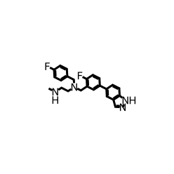 CNCCN(Cc1ccc(F)cc1)Cc1cc(-c2ccc3[nH]ncc3c2)ccc1F